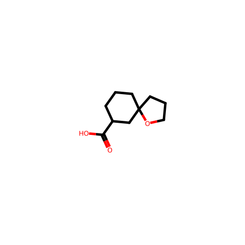 O=C(O)C1CCCC2(CCCO2)C1